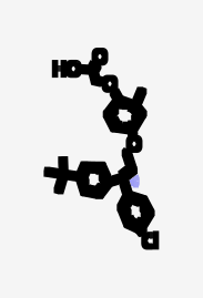 Cc1cc(OC/C=C(/c2ccc(Cl)cc2)c2ccc(C(C)(C)C)cc2)ccc1OCC(=O)O